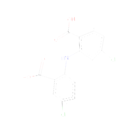 O=C(O)c1ccc(Cl)cc1Nc1ccc(Cl)cc1C(=O)O